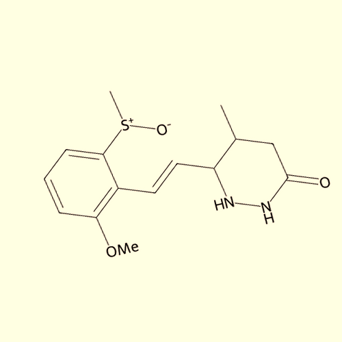 COc1cccc([S+](C)[O-])c1/C=C/C1NNC(=O)CC1C